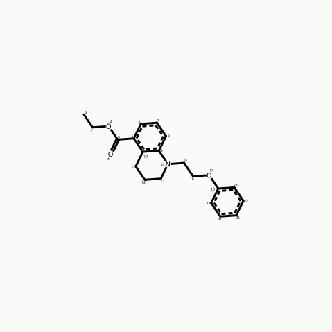 CCOC(=O)c1cccc2c1CCCN2CCOc1ccccc1